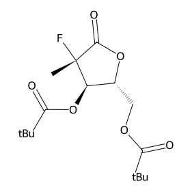 CC(C)(C)C(=O)OC[C@H]1OC(=O)[C@@](C)(F)[C@@H]1OC(=O)C(C)(C)C